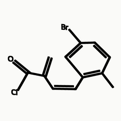 C=C(/C=C\c1cc(Br)ccc1C)C(=O)Cl